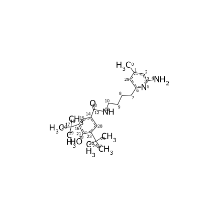 Cc1cc(N)nc(CCCCNC(=O)c2cc(C(C)(C)C)c(O)c(C(C)(C)C)c2)c1